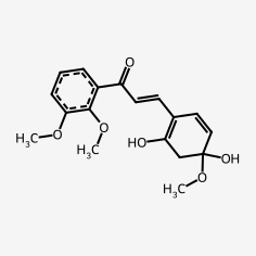 COc1cccc(C(=O)C=CC2=C(O)CC(O)(OC)C=C2)c1OC